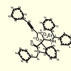 CCOC(=O)[C@@H](NC(c1ccccc1)c1ccccc1)[C@]1(OCC#Cc2ccccc2)C(=O)N(Cc2ccccc2)c2ccccc21